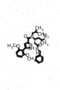 COc1cccc(OC)c1-c1cc(C(=O)N(CC(C)C)[C@H](CC(=O)NCc2ccccc2)CC(C)C)n[nH]1